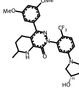 COc1cc(OC)cc(-c2nn(-c3cc(N4CC[C@H](O)C4)ccc3C(F)(F)F)c(=O)c3c2CCC(C)N3)c1